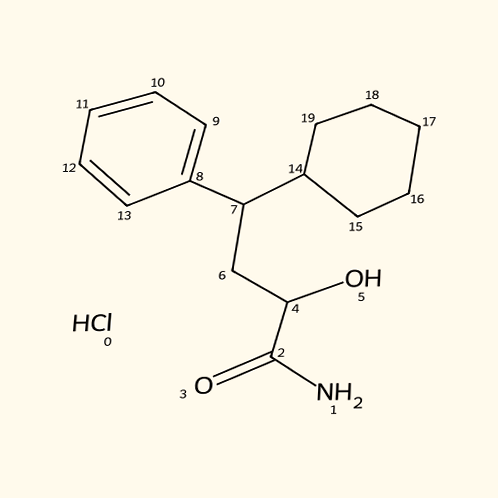 Cl.NC(=O)C(O)CC(c1ccccc1)C1CCCCC1